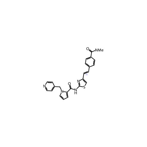 CNC(=O)c1ccc(/C=C/c2csc(NC(=O)c3cccn3Cc3ccncc3)n2)cc1